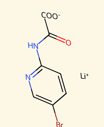 O=C([O-])C(=O)Nc1ccc(Br)cn1.[Li+]